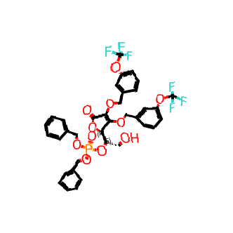 O=C1O[C@H]([C@H](CO)OP(=O)(OCc2ccccc2)OCc2ccccc2)C(OCc2cccc(OC(F)(F)F)c2)=C1OCc1cccc(OC(F)(F)F)c1